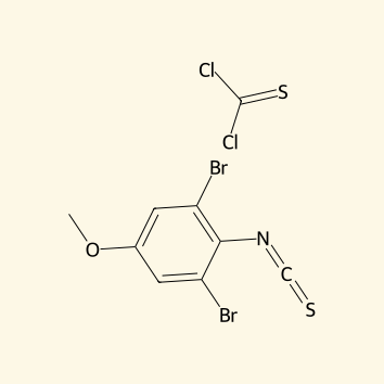 COc1cc(Br)c(N=C=S)c(Br)c1.S=C(Cl)Cl